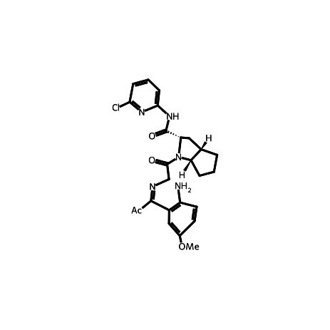 COc1ccc(N)c(/C(=N\CC(=O)N2[C@H](C(=O)Nc3cccc(Cl)n3)C[C@@H]3CCC[C@@H]32)C(C)=O)c1